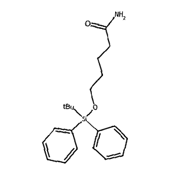 CC(C)(C)[Si](OCCCCC(N)=O)(c1ccccc1)c1ccccc1